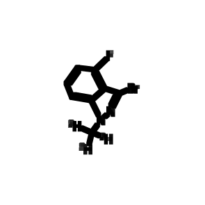 [2H]C([2H])([2H])n1nc(Br)c2c(F)cccc21